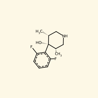 C[C@@H]1CNC[C@H](C)[C@@]1(O)c1c(F)cccc1F